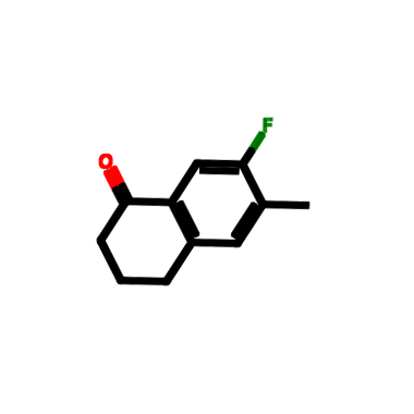 Cc1cc2c(cc1F)C(=O)CCC2